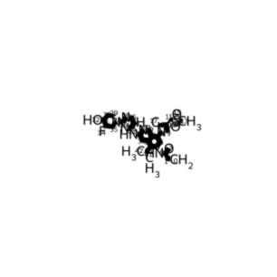 C=CC(=O)Nc1cc(N2C[C@H](CS(C)(=O)=O)[C@H]2C)c2cnc(Nc3ccnc(N4CC[C@@H](O)[C@H](F)C4)n3)cc2c1C(C)C